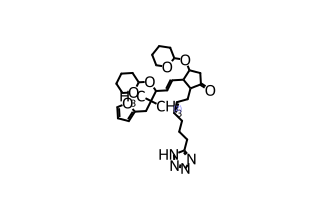 CC(C)(Cc1ccco1)C(C=CC1C(OC2CCCCO2)CC(=O)C1C/C=C\CCCc1nnn[nH]1)OC1CCCCO1